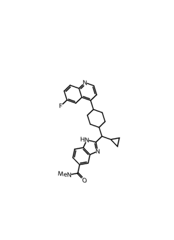 CNC(=O)c1ccc2[nH]c(C(C3CCC(c4ccnc5ccc(F)cc45)CC3)C3CC3)nc2c1